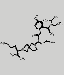 C=C(c1cc(F)ccc1CC(=N)/C(=N\C=N)N1CCC2(C1)CN(C(CCCN)C(C)C)C2)N(CC)C(C)C